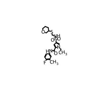 CCn1cc(S(=O)(=O)NCSC2CCCOC2)cc1C(=O)Nc1ccc(F)c(C)c1